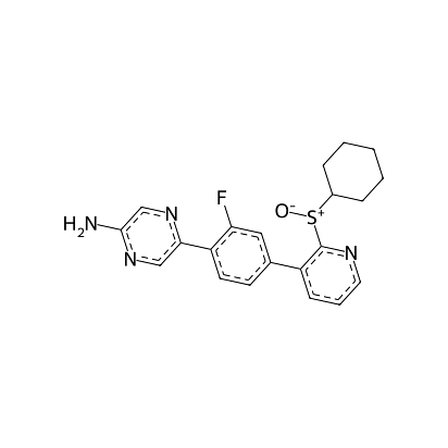 Nc1cnc(-c2ccc(-c3cccnc3[S+]([O-])C3CCCCC3)cc2F)cn1